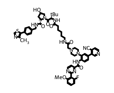 COc1cccc(F)c1-c1nccc(C(=O)Nc2ccc(-c3cnccc3C#N)cc2N2CCN(CC(=O)NCCCCCC(=O)N[C@H](C(=O)N3C[C@H](O)C[C@H]3C(=O)NCc3ccc(-c4scnc4C)cc3)C(C)(C)C)CC2)n1